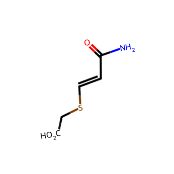 NC(=O)/C=C/SCC(=O)O